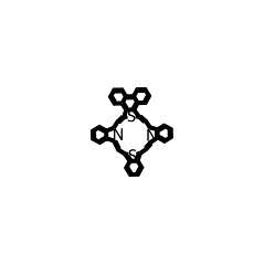 c1ccc2c(c1)-c1cc3sc(cc4nc(cc5sc(cc-2n1)c1c2ccccc2c2ccccc2c51)-c1ccccc1-4)c1ccccc31